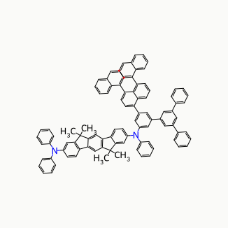 CC1(C)c2cc(N(c3ccccc3)c3ccccc3)ccc2-c2cc3c(cc21)-c1ccc(N(c2ccccc2)c2cc(-c4cc(-c5ccccc5)cc(-c5ccccc5)c4)cc(-c4ccc(-c5cccc6ccccc56)c5c(-c6cccc7ccccc67)cccc45)c2)cc1C3(C)C